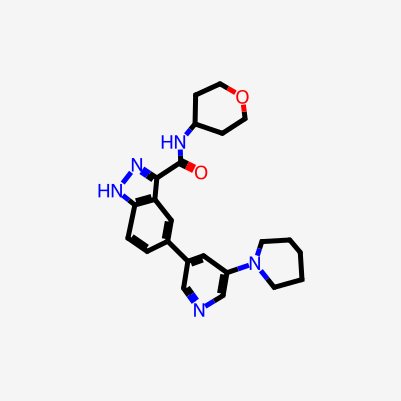 O=C(NC1CCOCC1)c1n[nH]c2ccc(-c3cncc(N4CCCCC4)c3)cc12